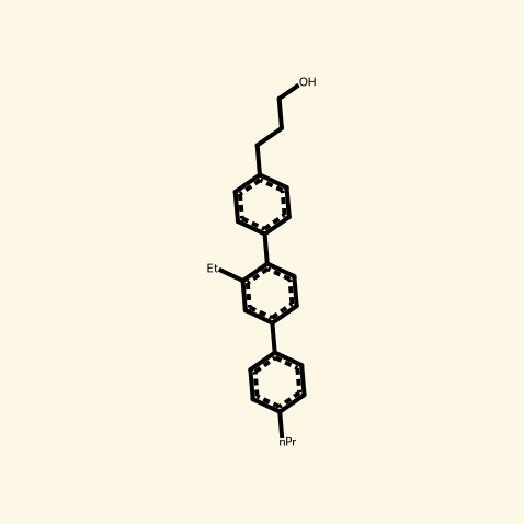 CCCc1ccc(-c2ccc(-c3ccc(CCCO)cc3)c(CC)c2)cc1